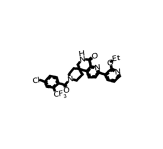 CCOc1ncccc1-c1ccc2c(n1)C(=O)NCC21CCN(C(=O)c2ccc(Cl)cc2C(F)(F)F)CC1